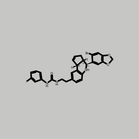 O=C(NCCc1ccc2c(c1)[C@@H]1C=CC[C@@H]1[C@@H](c1cc3c(cc1Br)OCO3)N2)Nc1cccc(I)c1